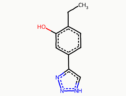 CCc1ccc(-c2c[nH]nn2)cc1O